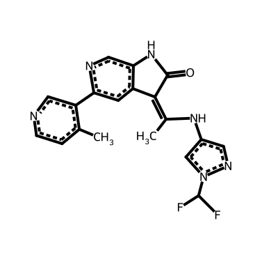 C/C(Nc1cnn(C(F)F)c1)=C1/C(=O)Nc2cnc(-c3cnccc3C)cc21